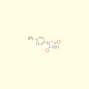 CC(C)c1ccc(N2CC(=O)NC2=O)cn1